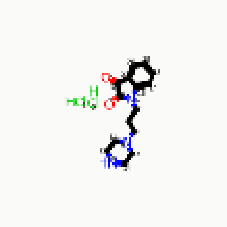 Cl.Cl.O=C1C(=O)N(CCCN2CCNCC2)c2ccccc21